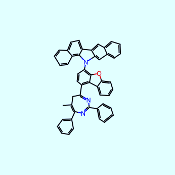 CC1=C(c2ccccc2)N=C(c2ccccc2)N=C(c2ccc(-n3c4cc5ccccc5cc4c4ccc5ccccc5c43)c3oc4ccccc4c23)C1